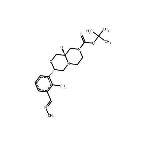 C/N=C/c1cccc([C@H]2CN3CCN(C(=O)OC(C)(C)C)C[C@H]3CO2)c1C